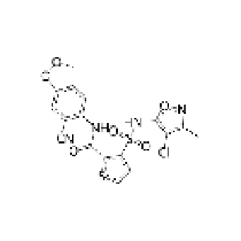 Cc1noc(NS(=O)(=O)c2ccsc2C(=O)Nc2cc3c(cc2C#N)OOC3)c1Cl